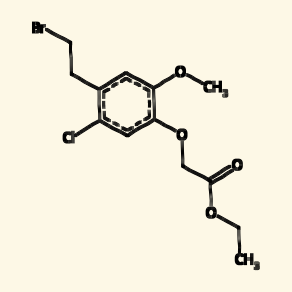 CCOC(=O)COc1cc(Cl)c(CCBr)cc1OC